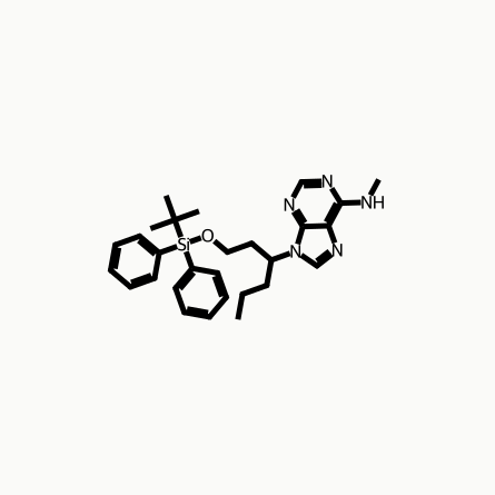 CCCC(CCO[Si](c1ccccc1)(c1ccccc1)C(C)(C)C)n1cnc2c(NC)ncnc21